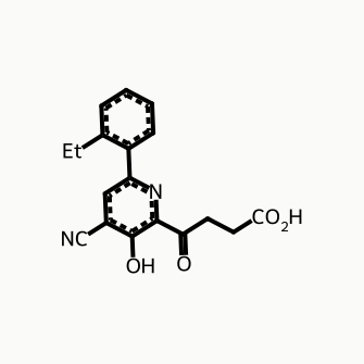 CCc1ccccc1-c1cc(C#N)c(O)c(C(=O)CCC(=O)O)n1